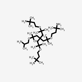 CC(N)COC(C)(C)CC(CC(C)(C)OCCC(C)(C)N)(CC(C)(C)OCCC(C)(C)N)CC(C)(C)OCCC(C)(C)N